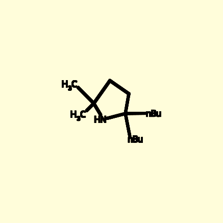 CCCCC1(CCCC)CCC(C)(C)N1